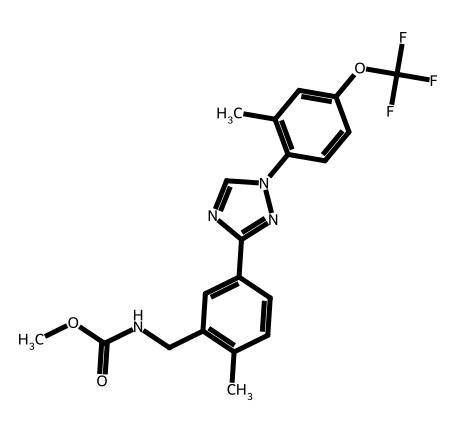 COC(=O)NCc1cc(-c2ncn(-c3ccc(OC(F)(F)F)cc3C)n2)ccc1C